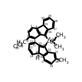 Cc1ccc2c(c1)[C]([Zr+2]([C]1=C3C=CC=C[C@@H]3c3ccc(C)cc31)=[Si](C)C)=C1C=CC=CC12.[Cl-].[Cl-]